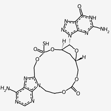 Nc1nc2c(nnn2[C@@H]2O[C@@H]3COC(=O)OCCn4c(nc5c(N)ncnc54)COP(=O)(S)O[C@@H]2C3)c(=O)[nH]1